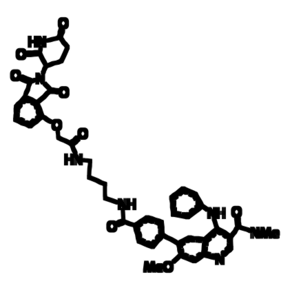 CNC(=O)c1cnc2cc(OC)c(-c3ccc(C(=O)NCCCCNC(=O)COc4cccc5c4C(=O)N(C4CCC(=O)NC4=O)C5=O)cc3)cc2c1Nc1ccccc1